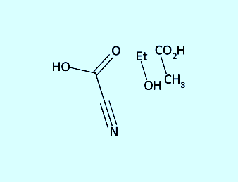 CC(=O)O.CCO.N#CC(=O)O